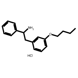 CCCCOc1cccc(CC(N)c2ccccc2)c1.Cl